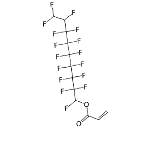 C=CC(=O)OC(F)C(F)(F)C(F)(F)C(F)(F)C(F)(F)C(F)(F)C(F)(F)C(F)C(F)F